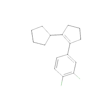 Fc1ccc(C2=C(C3CCCC3)CCC2)cc1Cl